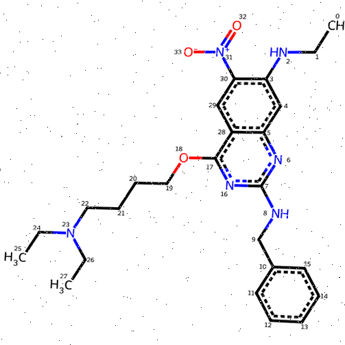 CCNc1cc2nc(NCc3ccccc3)nc(OCCCCN(CC)CC)c2cc1[N+](=O)[O-]